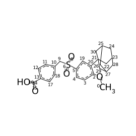 COc1ccc(S(=O)(=O)Cc2ccc(C(=O)O)cc2)cc1C12CC3CC(CC(C3)C1)C2